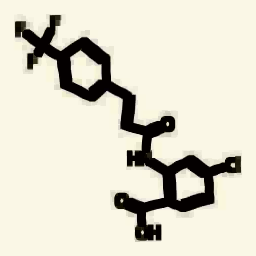 O=C(C=Cc1ccc(C(F)(F)F)cc1)Nc1cc(Cl)ccc1C(=O)O